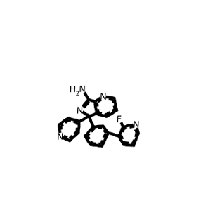 NC1=NC(c2ccncc2)(c2cccc(-c3cccnc3F)c2)c2cccnc21